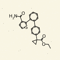 CCOC(=O)C1(c2ccc(-c3ccccc3-c3sccc3C(N)=O)cc2)CC1